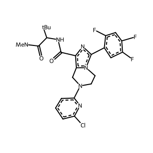 CNC(=O)C(NC(=O)c1nc(-c2cc(F)c(F)cc2F)n2c1CN(c1cccc(Cl)n1)CC2)C(C)(C)C